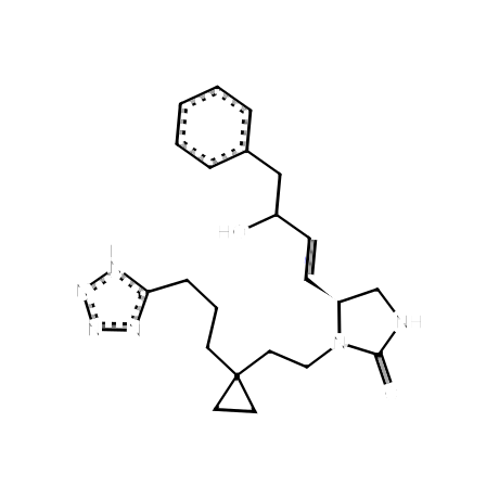 O=C1NC[C@H](/C=C/C(O)Cc2ccccc2)N1CCC1(CCCc2nnn[nH]2)CC1